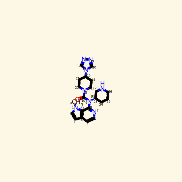 Cn1ccc2ccnc(N(C(=O)N3CCC(n4cnnc4)CC3)[C@@H]3CCCNC3)c21